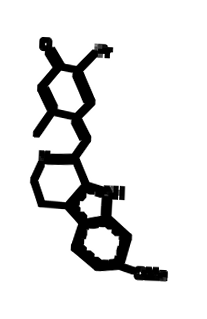 COc1ccc2c3c([nH]c2c1)C(/C=C1/C=C(C(C)C)C(=O)C=C1C)=NCC3